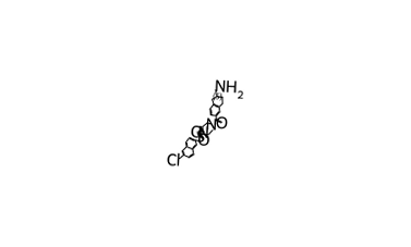 NC[C@H]1CCc2cc(C(=O)N3CCN(S(=O)(=O)c4ccc5cc(Cl)ccc5c4)CC3)ccc2C1